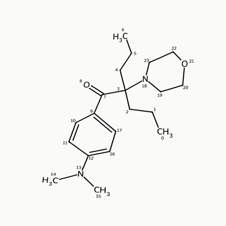 CCCC(CCC)(C(=O)c1ccc(N(C)C)cc1)N1CCOCC1